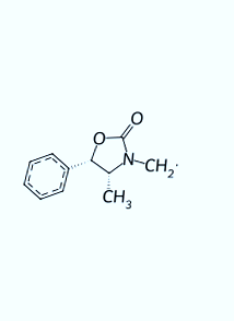 [CH2]N1C(=O)O[C@@H](c2ccccc2)[C@H]1C